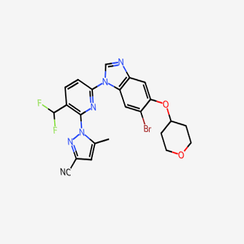 Cc1cc(C#N)nn1-c1nc(-n2cnc3cc(OC4CCOCC4)c(Br)cc32)ccc1C(F)F